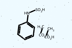 CC(=O)O.CC(=O)O.O=S(=O)(O)Nc1ccccc1